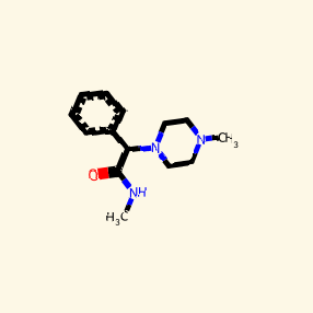 CNC(=O)C(c1[c]cccc1)N1CCN(C)CC1